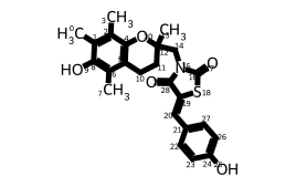 Cc1c(C)c2c(c(C)c1O)CCC(C)(CN1C(=O)S/C(=C\c3ccc(O)cc3)C1=O)O2